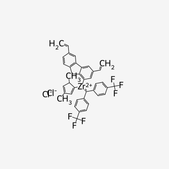 C=Cc1ccc2c(c1)-c1cc(C=C)c[c]([Zr+2]([C]3=CC(C)=CC3C)=[C](c3ccc(C(F)(F)F)cc3)c3ccc(C(F)(F)F)cc3)c1C2.[Cl-].[Cl-]